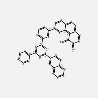 N=C1C=Cc2ccc3ccc(-c4cccc(-c5nc(-c6ccccc6)nc(-c6ccc7ccccc7c6)n5)c4)cc3c2C1=N